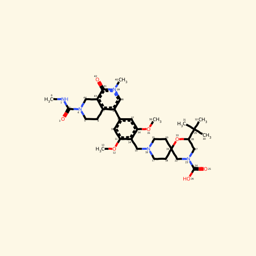 CNC(=O)N1CCc2c(-c3cc(OC)c(CN4CCC5(CC4)CN(C(=O)O)CC(C(C)(C)C)O5)c(OC)c3)cn(C)c(=O)c2C1